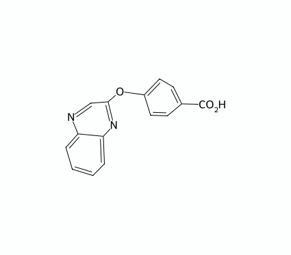 O=C(O)c1ccc(Oc2cnc3ccccc3n2)cc1